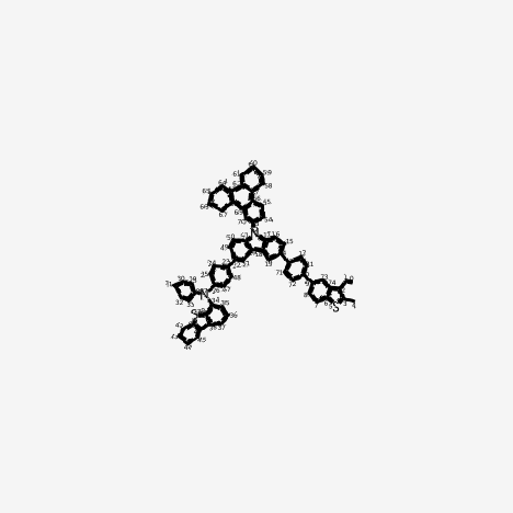 C=Cc1c(C)sc2ccc(-c3ccc(-c4ccc5c(c4)c4cc(-c6ccc(N(c7ccccc7)c7cccc8c7sc7ccccc78)cc6)ccc4n5-c4ccc5c6ccccc6c6ccccc6c5c4)cc3)cc12